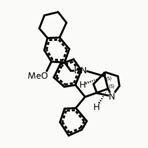 COc1cc2c(cc1CN[C@H]1C3CCN(CC3)[C@H]1C(c1ccccc1)c1ccccc1)CCCC2